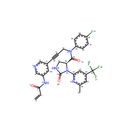 C=CC(=O)Nc1cncc(C#CCN(C(=O)[C@@H]2CNC(=O)N2c2cc(C(F)(F)F)cc(C)n2)c2ccc(F)cc2)c1